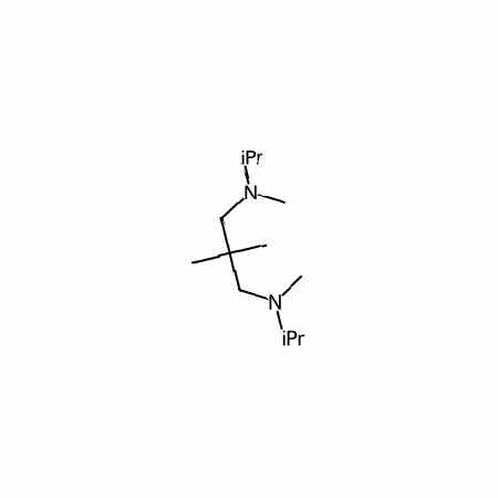 CC(C)N(C)CC(C)(C)CN(C)C(C)C